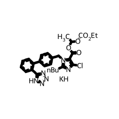 CCCCc1nc(Cl)c(C(=O)OC(C)OC(=O)OCC)n1Cc1ccc(-c2ccccc2-c2nnn[nH]2)cc1.[KH]